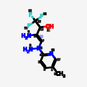 Cc1ccc(N(N)/C=C(\N)C(O)C(F)(F)F)nc1